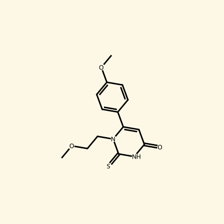 COCCn1c(-c2ccc(OC)cc2)cc(=O)[nH]c1=S